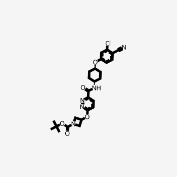 CC(C)(C)OC(=O)N1CC(Oc2ccc(C(=O)N[C@H]3CC[C@H](Oc4ccc(C#N)c(Cl)c4)CC3)nn2)C1